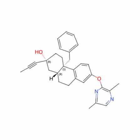 CC#C[C@@]1(O)CC[C@@]2(Cc3ccccc3)c3ccc(Oc4nc(C)cnc4C)cc3CC[C@@H]2C1